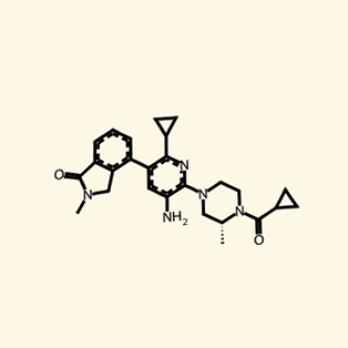 C[C@@H]1CN(c2nc(C3CC3)c(-c3cccc4c3CN(C)C4=O)cc2N)CCN1C(=O)C1CC1